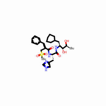 CC(C)(C)[C@H](O)[C@H](O)[C@H](CC1CCCCC1)NC(=O)[C@H](Cc1c[nH]cn1)NC(=O)C(=Cc1ccccc1)CS(=O)(=O)C(C)(C)C